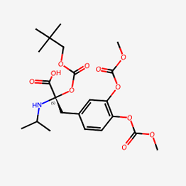 COC(=O)Oc1ccc(C[C@](NC(C)C)(OC(=O)OCC(C)(C)C)C(=O)O)cc1OC(=O)OC